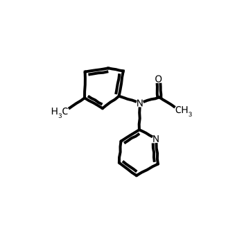 CC(=O)N(c1cccc(C)c1)c1ccccn1